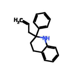 C=CCC1(c2ccccc2)CCc2ccccc2N1